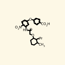 CC(C)C1C(C)CCCC1OCC(=O)Nc1cc(Oc2ccc(C(=O)O)cc2)ccc1[N+](=O)[O-]